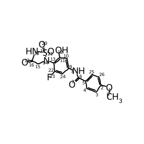 COc1ccc(C(=O)Nc2cc(O)c(N3CC(=O)NS3(=O)=O)c(F)c2)cc1